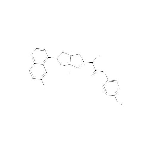 N#Cc1ccc(NC(=O)C(O)[C@H]2C[C@H]3C[C@@H](c4ccnc5ccc(F)cc45)C[C@H]3C2)cn1